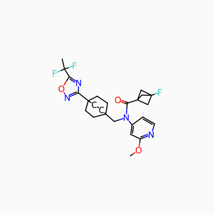 COc1cc(N(CC23CCC(c4noc(C(C)(F)F)n4)(CC2)CC3)C(=O)C23CC(F)(C2)C3)ccn1